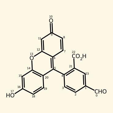 O=Cc1ccc(-c2c3ccc(=O)cc-3oc3cc(O)ccc23)c(C(=O)O)c1